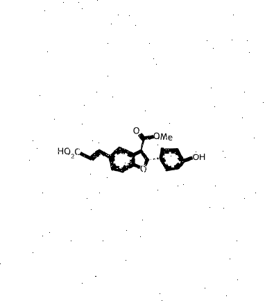 COC(=O)[C@@H]1c2cc(/C=C/C(=O)O)ccc2O[C@H]1c1ccc(O)cc1